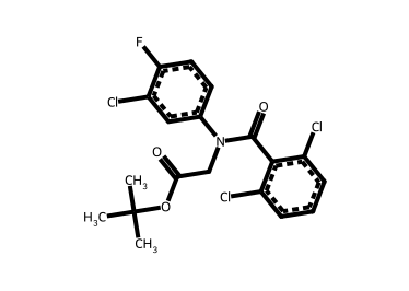 CC(C)(C)OC(=O)CN(C(=O)c1c(Cl)cccc1Cl)c1ccc(F)c(Cl)c1